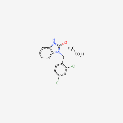 CC(=O)O.O=c1[nH]c2ccccc2n1Cc1ccc(Cl)cc1Cl